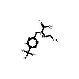 CCN[C@@H](Cc1ccc(C(F)(F)F)cc1)C(=O)O